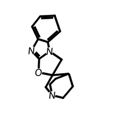 c1ccc2c(c1)nc1n2CC2(CN3CCC2CC3)O1